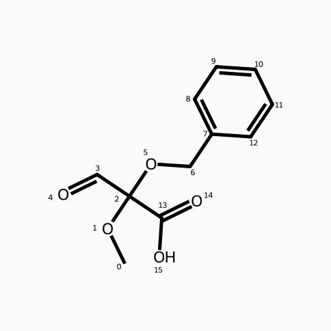 COC(C=O)(OCc1ccccc1)C(=O)O